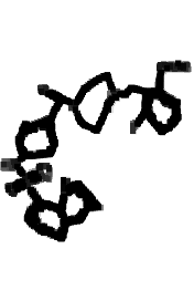 COc1cccc(F)c1CN1CCCN(C(=O)c2ccc(NS(=O)(=O)c3cccc4cccnc34)cc2)CC1